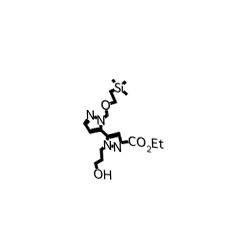 CCOC(=O)c1cc(-c2ccnn2COCC[Si](C)(C)C)n(CCCO)n1